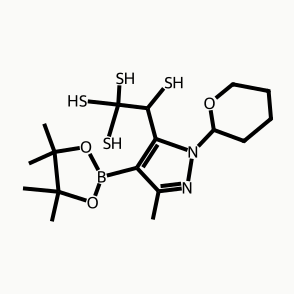 Cc1nn(C2CCCCO2)c(C(S)C(S)(S)S)c1B1OC(C)(C)C(C)(C)O1